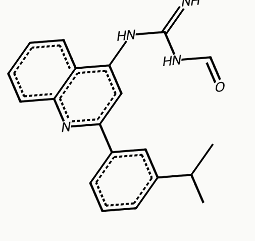 CC(C)c1cccc(-c2cc(NC(=N)NC=O)c3ccccc3n2)c1